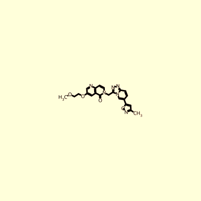 COCCOc1cnc2ccn(Cc3nnc4ccc(-c5cc(C)no5)cn34)c(=O)c2c1